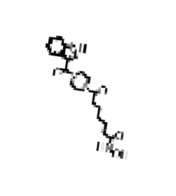 O=C(CCCCCC(=O)N1CCN(C(=O)c2c[nH]c3ccccc23)CC1)NO